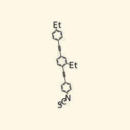 CCc1ccc(C#Cc2ccc(C#Cc3ccc(N=C=S)cc3)c(CC)c2)cc1